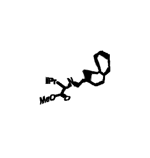 COC(=O)C(N=Cc1ccc2ccccc2c1)C(C)C